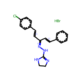 Br.Clc1ccc(/C=C/C(/C=C/c2ccccc2)=N/NC2=NCCN2)cc1